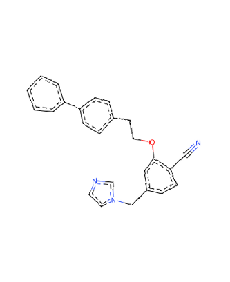 N#Cc1ccc(Cn2ccnc2)cc1OCCc1ccc(-c2ccccc2)cc1